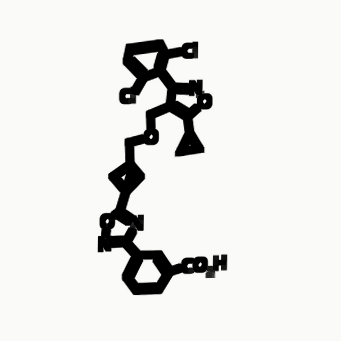 O=C(O)c1cccc(-c2noc(C34CC(COCc5c(-c6c(Cl)cccc6Cl)noc5C5CC5)(C3)C4)n2)c1